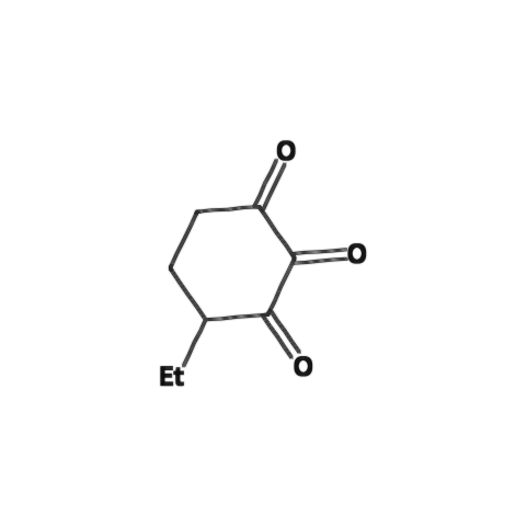 CCC1CCC(=O)C(=O)C1=O